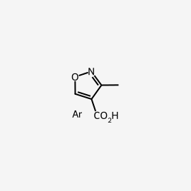 Cc1nocc1C(=O)O.[Ar]